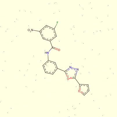 O=C(Nc1cccc(-c2nnc(-c3ccco3)o2)c1)c1cc(F)cc([N+](=O)[O-])c1